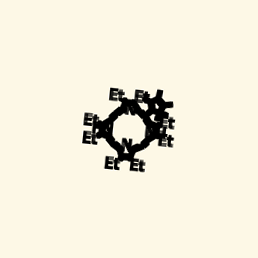 CCC1=C(CC)c2cc3[nH]c(c(CC)c3CC)c(C3=C(C)C(C)=C(C)C3(C)C)c3nc(cc4[nH]c(cc1n2)c(CC)c4CC)C(CC)=C3CC